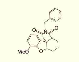 COc1cccc2c1OC1CCCC3C(=O)N(Cc4ccccc4)C(=O)CC213